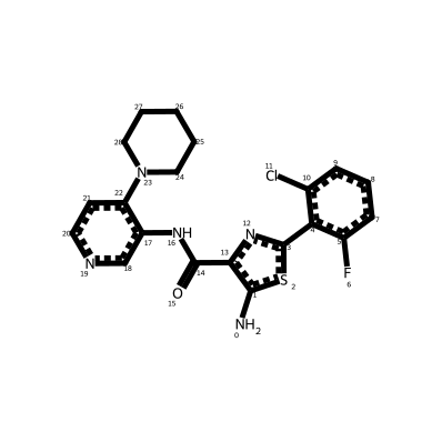 Nc1sc(-c2c(F)cccc2Cl)nc1C(=O)Nc1cnccc1N1CCCCC1